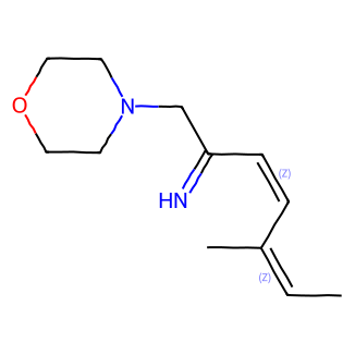 C/C=C(C)\C=C/C(=N)CN1CCOCC1